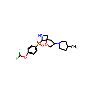 CC1CCN(C2COC3(CNC3S(=O)(=O)c3ccc(OC(F)F)cc3)C2)CC1